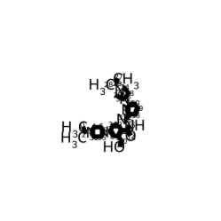 CC(C)N1CCN(c2cc(CO)c3c(=O)[nH]c(-c4cccc(N5CCN(C(C)C)CC5)n4)nc3c2)CC1